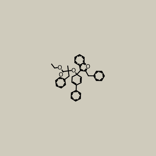 CCOC(=O)C(C)(Cc1ccccc1)OC1(c2c(Cc3ccccc3)oc3ccccc23)C=CC(c2ccccc2)=CC1